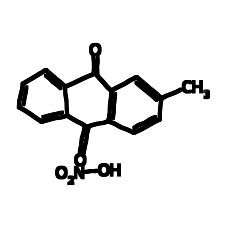 Cc1ccc2c(c1)C(=O)c1ccccc1C2=O.O=[N+]([O-])O